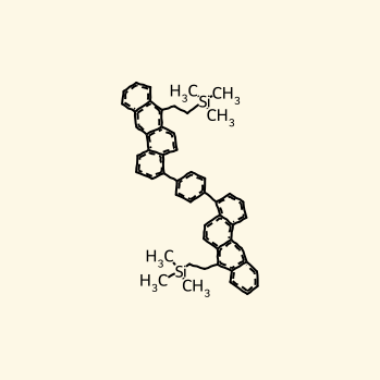 C[Si](C)(C)CCc1c2ccccc2cc2c1ccc1c(-c3ccc(-c4cccc5c4ccc4c(CC[Si](C)(C)C)c6ccccc6cc45)cc3)cccc12